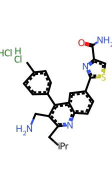 Cc1ccc(-c2c(CN)c(CC(C)C)nc3ccc(-c4nc(C(N)=O)cs4)cc23)cc1.Cl.Cl